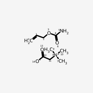 C=CCOC(N)=O.C[N+](C)(C)CC(=O)[O-]